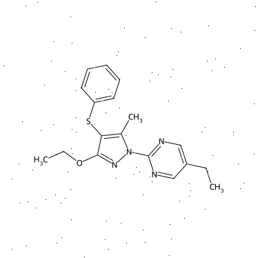 CCOc1nn(-c2ncc(CC)cn2)c(C)c1Sc1ccccc1